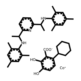 Cc1cc(C)c(NC(C)c2cccc(C(C)Nc3c(C)cc(C)cc3C)n2)c(C)c1.O=C([O-])c1c(C2CCCCC2)ccc(O)c1O.[Co+]